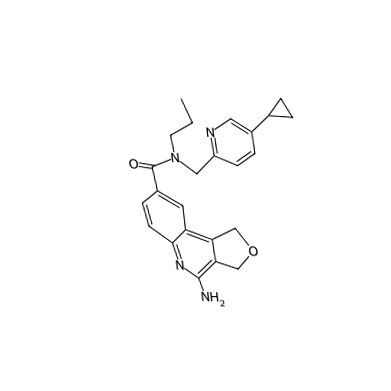 CCCN(Cc1ccc(C2CC2)cn1)C(=O)c1ccc2nc(N)c3c(c2c1)COC3